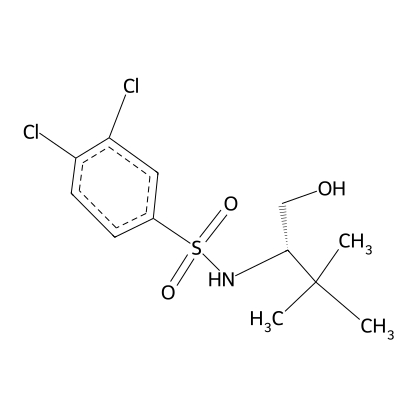 CC(C)(C)[C@@H](CO)NS(=O)(=O)c1ccc(Cl)c(Cl)c1